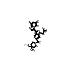 CC1(CO)CCN(C(=O)c2cc3c(cn2)c(-c2cnc4c(F)cc(F)cn24)nn3C(F)C(F)F)CC1